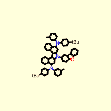 Cc1cccc(N(c2ccc(C(C)(C)C)cc2)c2cc3c(c4ccccc24)c2c4ccccc4c(N(c4ccc(C(C)(C)C)cc4)c4cccc(C)c4)cc2n3-c2ccc3oc4ccccc4c3c2)c1